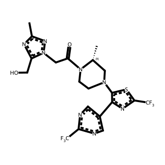 Cc1nc(CO)n(CC(=O)N2CCN(c3sc(C(F)(F)F)nc3-c3cnc(C(F)(F)F)nc3)C[C@H]2C)n1